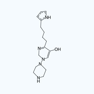 OC1=CN(N2CCNCC2)CN=C1CCCCc1ccc[nH]1